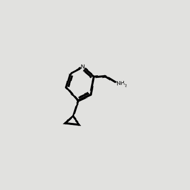 NCc1cc(C2CC2)c[c]n1